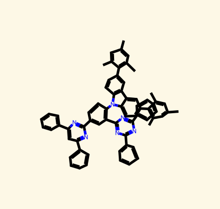 Cc1cc(C)c(-c2ccc3c(c2)c2cc(-c4c(C)cc(C)cc4C)ccc2n3-c2ccc(-c3nc(-c4ccccc4)cc(-c4ccccc4)n3)cc2-c2nc(-c3ccccc3)nc(-c3ccccc3)n2)c(C)c1